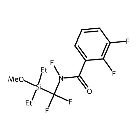 CC[Si](CC)(OC)C(F)(F)N(F)C(=O)c1cccc(F)c1F